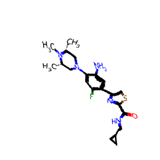 C[C@@H]1CN(c2cc(F)c(-c3csc(C(=O)NCC4CC4)n3)cc2N)C[C@H](C)N1C